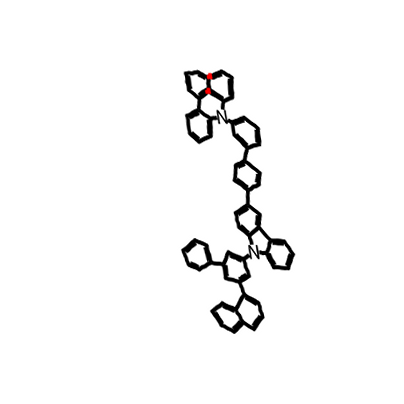 c1ccc(-c2cc(-c3cccc4ccccc34)cc(-n3c4ccccc4c4cc(-c5ccc(-c6cccc(N(c7ccccc7)c7ccccc7-c7ccccc7)c6)cc5)ccc43)c2)cc1